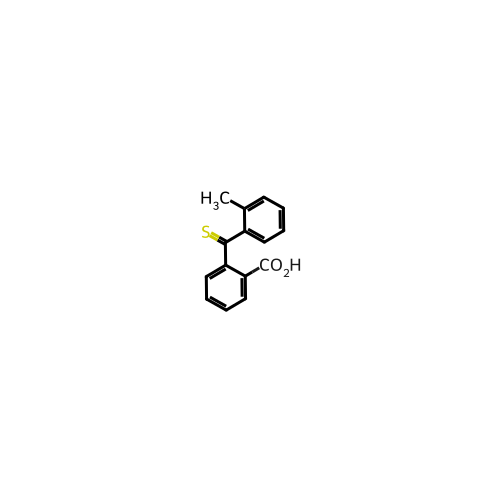 Cc1ccccc1C(=S)c1ccccc1C(=O)O